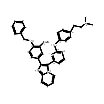 COc1cc(-c2nc3ccccn3c2-c2ccnc(Nc3ccc(CCN(C)C)cc3)n2)ccc1OCc1ccccc1